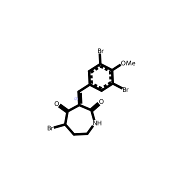 COc1c(Br)cc(/C=C2\C(=O)NCCC(Br)C2=O)cc1Br